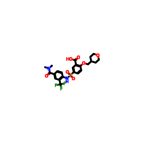 CN(C)C(=O)c1ccc(NS(=O)(=O)c2ccc(OCC3CCOCC3)c(C(=O)O)c2)c(C(F)(F)F)c1